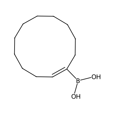 OB(O)C1=CCCCCCCCCCC1